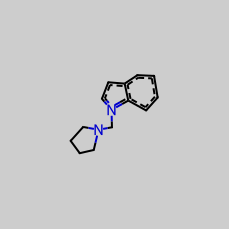 c1ccc2c(c1)ccn2CN1CCCC1